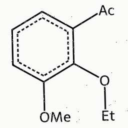 CCOc1c(OC)cccc1C(C)=O